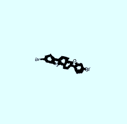 Brc1ccc2c(c1)oc1c2ccc2c1ccc1c3ccc(Br)cc3sc12